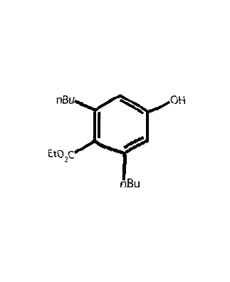 CCCCc1cc(O)cc(CCCC)c1C(=O)OCC